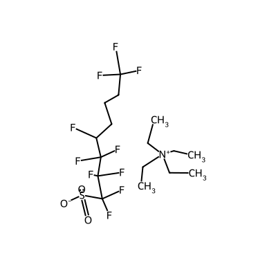 CC[N+](CC)(CC)CC.O=S(=O)([O-])C(F)(F)C(F)(F)C(F)(F)C(F)CCCC(F)(F)F